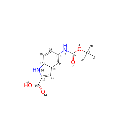 CC(C)(C)OC(=O)NC1=CC2C=C(C(=O)O)NC2C=C1